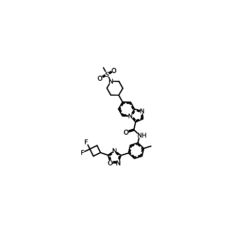 Cc1ccc(-c2noc(C3CC(F)(F)C3)n2)cc1NC(=O)c1cnc2cc(C3CCN(S(C)(=O)=O)CC3)ccn12